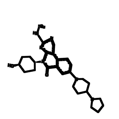 CCCCNc1ncc2c3ccc(N4CCC(N5CCCC5)CC4)cc3c(=O)n([C@H]3CC[C@H](O)CC3)c2n1